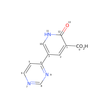 O=C(O)c1cc(-c2ccncn2)c[nH]c1=O